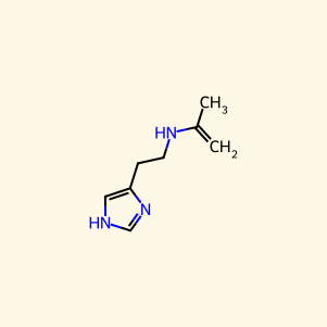 C=C(C)NCCc1c[nH]cn1